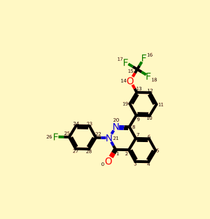 O=c1c2ccccc2c(-c2cccc(OC(F)(F)F)c2)nn1-c1ccc(F)cc1